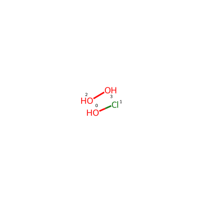 OCl.OO